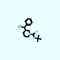 CC(C)(C)OC(=O)N1CCCC(C(O)c2ccccc2)C1